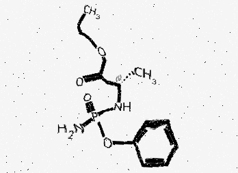 CCOC(=O)[C@H](C)NP(N)(=O)Oc1ccccc1